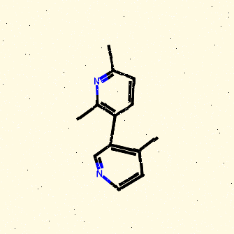 Cc1ccc(-c2cnccc2C)c(C)n1